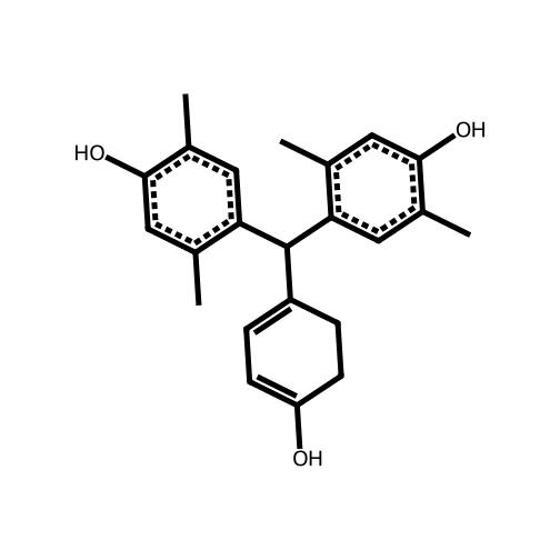 Cc1cc(C(C2=CC=C(O)CC2)c2cc(C)c(O)cc2C)c(C)cc1O